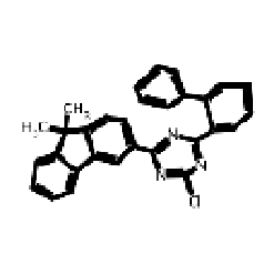 CC1(C)c2ccccc2-c2cc(-c3nc(Cl)nc(-c4ccccc4-c4ccccc4)n3)ccc21